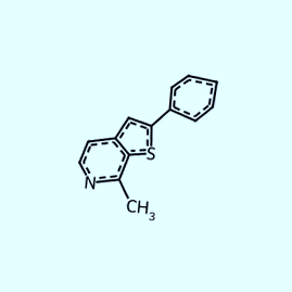 Cc1nccc2cc(-c3ccccc3)sc12